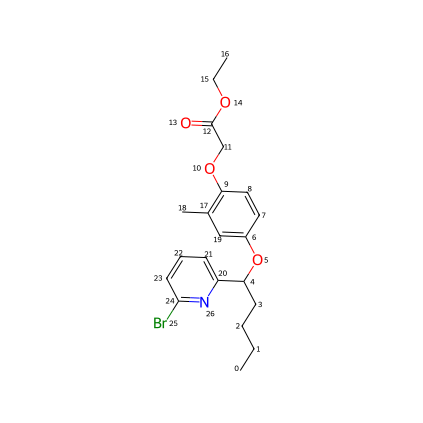 CCCCC(Oc1ccc(OCC(=O)OCC)c(C)c1)c1cccc(Br)n1